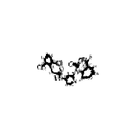 CC(=O)N(c1cc(NC(=O)Cc2c(Cl)cccc2Cl)ccn1)c1ccccc1C(F)F